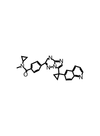 CN(C(=O)c1ccc(-c2cnc3ncc(C4(c5ccc6ncccc6c5)CC4)n3n2)cc1)C1CC1